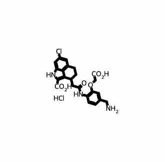 Cl.NCc1ccc(NC(=O)CC2CCc3cc(Cl)cc4[nH]c(C(=O)O)c2c34)c(OCC(=O)O)c1